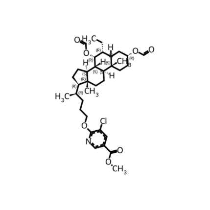 CC[C@H]1[C@@H](OC=O)[C@@H]2[C@H](CC[C@]3(C)[C@@H]([C@H](C)CCCOc4ncc(C(=O)OC)cc4Cl)CC[C@@H]23)[C@@]2(C)CC[C@@H](OC=O)C[C@@H]12